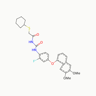 COc1cc2cccc(Oc3ccc(NC(=O)NC(=O)CSC4CCCCC4)c(F)c3)c2cc1OC